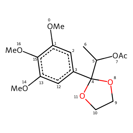 COc1cc(C2(C(C)OC(C)=O)OCCO2)cc(OC)c1OC